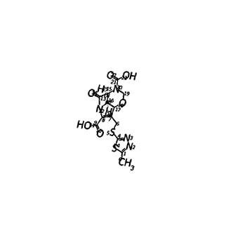 Cc1nnc(SCC2=C(C(=O)O)N3C(=O)[C@@H]4[C@H]3C2OCN4C(=O)O)s1